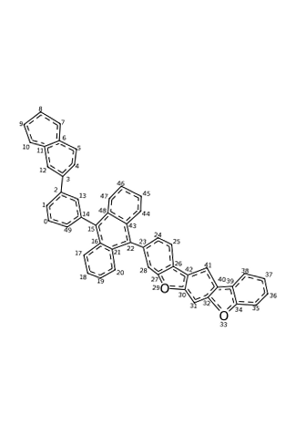 c1cc(-c2ccc3ccccc3c2)cc(-c2c3ccccc3c(-c3ccc4c(c3)oc3cc5oc6ccccc6c5cc34)c3ccccc23)c1